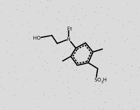 CCN(CCO)c1cc(C)c(CS(=O)(=O)O)cc1C